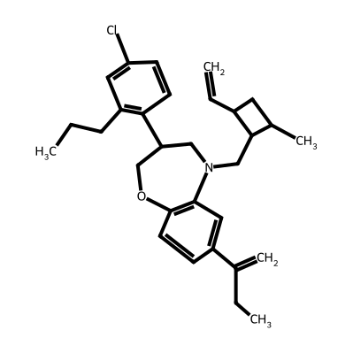 C=CC1CC(C)C1CN1CC(c2ccc(Cl)cc2CCC)COc2ccc(C(=C)CC)cc21